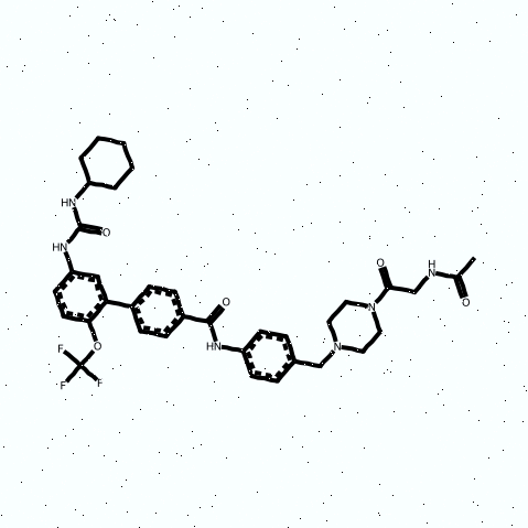 CC(=O)NCC(=O)N1CCN(Cc2ccc(NC(=O)c3ccc(-c4cc(NC(=O)NC5CCCCC5)ccc4OC(F)(F)F)cc3)cc2)CC1